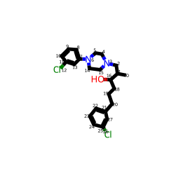 CC(CN1CCN(c2cccc(Cl)c2)CC1)C(O)CCCc1cccc(Cl)c1